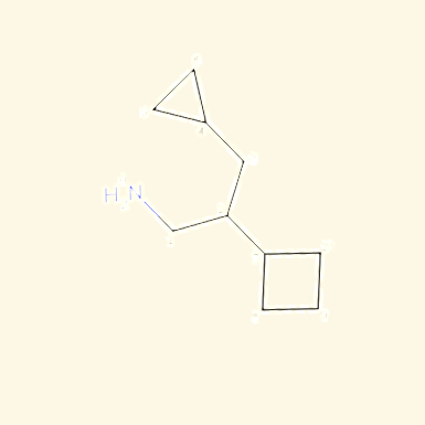 NCC(CC1CC1)C1CCC1